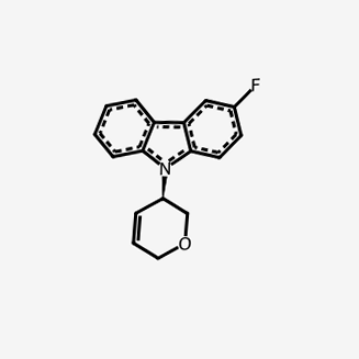 Fc1ccc2c(c1)c1ccccc1n2[C@@H]1C=CCOC1